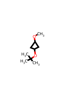 COC1CC(OC(C)(C)C)C1